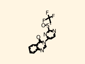 O=c1c2ccccc2ncn1-c1ccnc([S+]([O-])CC(F)(F)F)n1